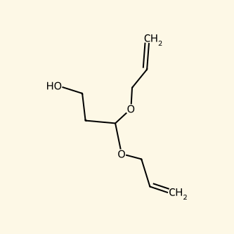 C=CCOC(CCO)OCC=C